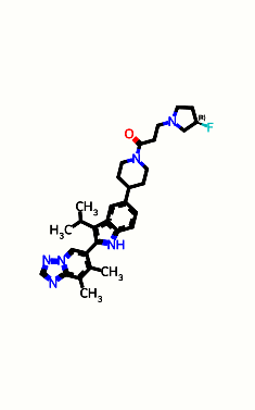 Cc1c(-c2[nH]c3ccc(C4CCN(C(=O)CCN5CC[C@@H](F)C5)CC4)cc3c2C(C)C)cn2ncnc2c1C